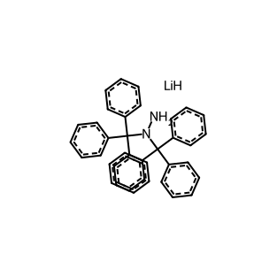 NN(C(c1ccccc1)(c1ccccc1)c1ccccc1)C(c1ccccc1)(c1ccccc1)c1ccccc1.[LiH]